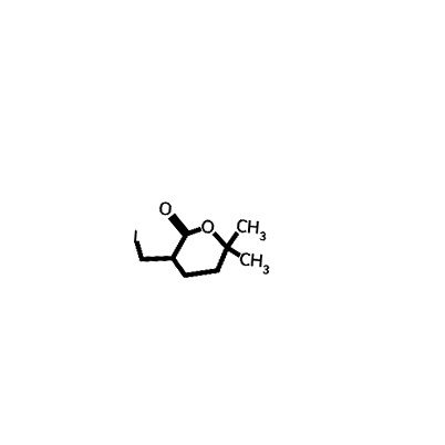 CC1(C)CCC(CI)C(=O)O1